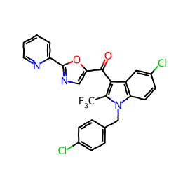 O=C(c1cnc(-c2ccccn2)o1)c1c(C(F)(F)F)n(Cc2ccc(Cl)cc2)c2ccc(Cl)cc12